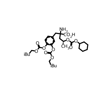 CCC(C)COC(=O)Oc1ccc(CC(N)(C[C@H](C)OC(=O)OC2CCCCC2)C(=O)O)cc1OC(=O)OCC(C)CC